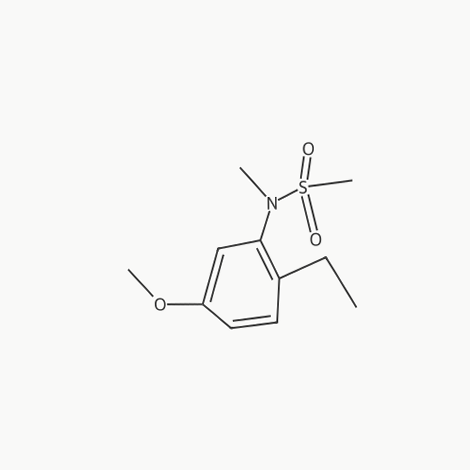 CCc1ccc(OC)cc1N(C)S(C)(=O)=O